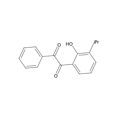 CC(C)c1cccc(C(=O)C(=O)c2ccccc2)c1O